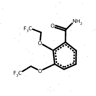 NC(=O)c1cccc(OCC(F)(F)F)c1OCC(F)(F)F